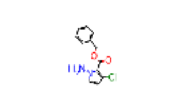 Nn1ccc(Cl)c1C(=O)OCc1ccccc1